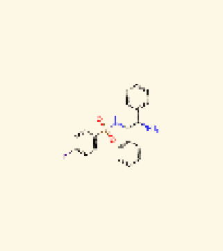 N[C@H](c1ccccc1)[C@H](NS(=O)(=O)c1ccc(I)cc1)c1ccccc1